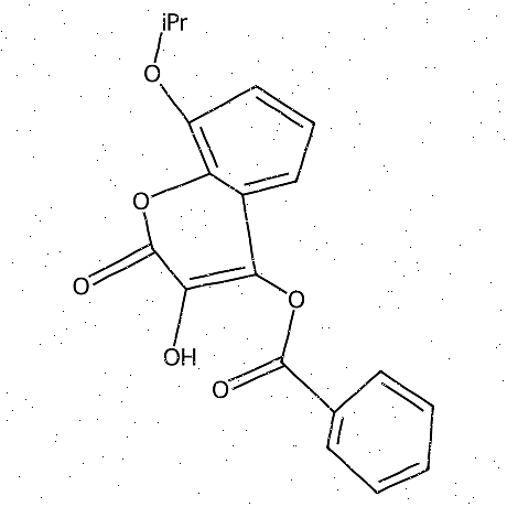 CC(C)Oc1cccc2c(OC(=O)c3ccccc3)c(O)c(=O)oc12